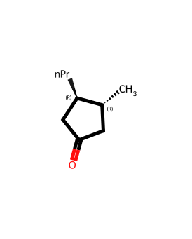 CCC[C@@H]1CC(=O)C[C@H]1C